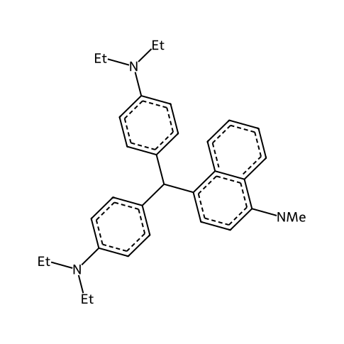 CCN(CC)c1ccc(C(c2ccc(N(CC)CC)cc2)c2ccc(NC)c3ccccc23)cc1